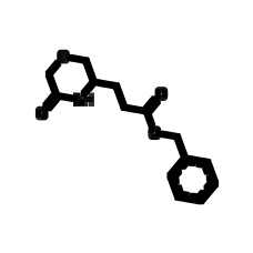 O=C1COCC(CCC(=O)OCc2ccccc2)N1